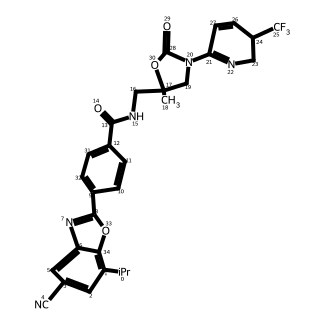 CC(C)c1cc(C#N)cc2nc(-c3ccc(C(=O)NCC4(C)CN(C5=NCC(C(F)(F)F)C=C5)C(=O)O4)cc3)oc12